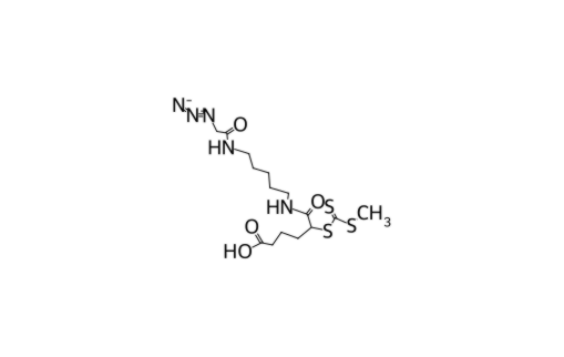 CSC(=S)SC(CCCC(=O)O)C(=O)NCCCCCNC(=O)CN=[N+]=[N-]